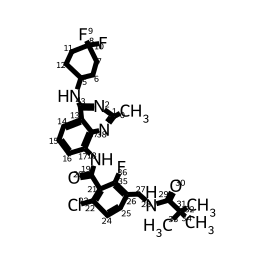 Cc1nc(NC2CCC(F)(F)CC2)c2cccc(NC(=O)c3c(Cl)ccc(CNC(=O)C(C)(C)C)c3F)c2n1